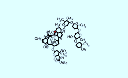 COC(=O)N[C@H]1[C@@H](C)O[C@@H](O[C@H]2C/C=C(\C)[C@H]3C=C[C@@H]4[C@@H](O[C@H]5C[C@@H](O[C@H]6CCC(O[C@H]7C[C@@H](O)C(O[C@H]8CC[C@@H](O)[C@H](C)C8)[C@H](C)O7)[C@H](C)O6)[C@@H](OC(C)=O)[C@H](C)O5)[C@@H](C)C[C@H](C)[C@H]4[C@]3(C)C(=O)C3=C(O)C4(CC(C=O)=C[C@H](O)[C@H]4/C=C/2C)OC3=O)C[C@]1(C)[N+](=O)[O-]